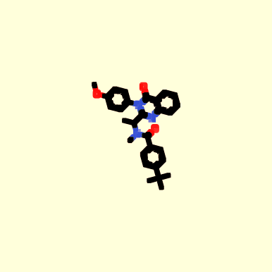 COc1ccc(-n2c(C(C)N(C)C(=O)c3ccc(C(C)(C)C)cc3)nc3ccccc3c2=O)cc1